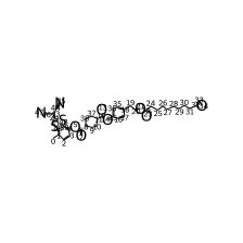 Cc1ccc(OC(=O)[C@H]2CC[C@H](C(=O)Oc3ccc(CCOC(=O)CCCCCCCCC4CO4)cc3)CC2)c2c1SC(=C(C#N)C#N)S2